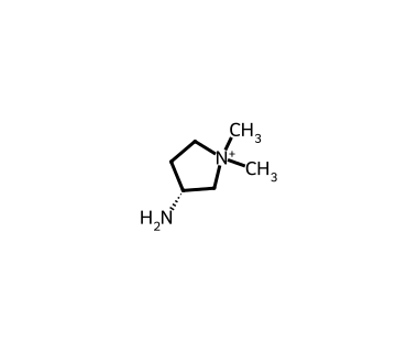 C[N+]1(C)CC[C@@H](N)C1